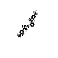 O=C(Cc1ccc(C(F)(F)F)c(F)c1)N/N=C/c1ccccc1OS(=O)(=O)c1ccc(C(F)(F)F)cc1